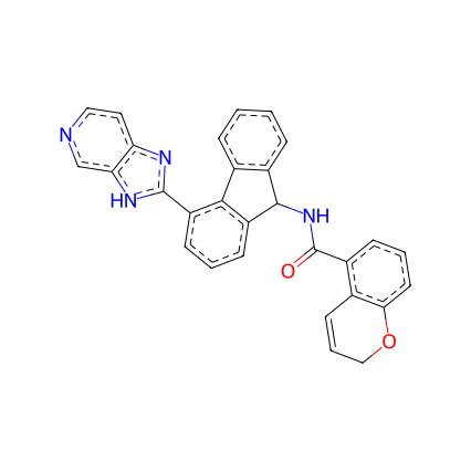 O=C(NC1c2ccccc2-c2c(-c3nc4ccncc4[nH]3)cccc21)c1cccc2c1C=CCO2